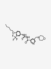 CCCCCOc1ccc(NC(=S)NC(=O)c2cncc(CN3CCOCC3)c2)cc1C(F)(F)F